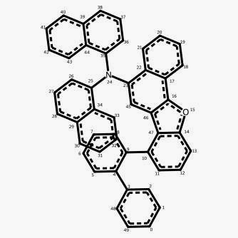 c1ccc(-c2ccccc2-c2cccc3oc4c5ccccc5c(N(c5cccc6ccccc56)c5cccc6ccccc56)cc4c23)cc1